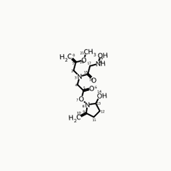 C=C(CN(CC(=O)ON1C(=C)CCC1O)C(=O)CNO)OC